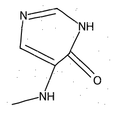 CNc1cnc[nH]c1=O